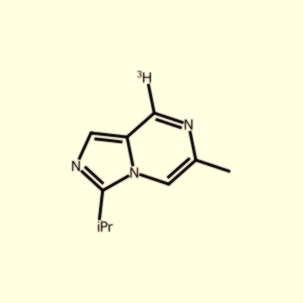 [3H]c1nc(C)cn2c(C(C)C)ncc12